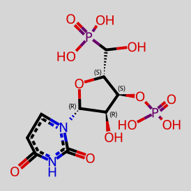 O=c1ccn([C@@H]2O[C@H](C(O)P(=O)(O)O)[C@@H](OP(=O)(O)O)[C@H]2O)c(=O)[nH]1